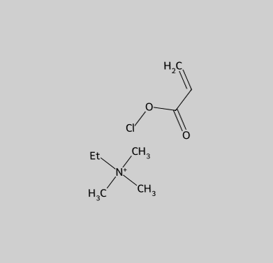 C=CC(=O)OCl.CC[N+](C)(C)C